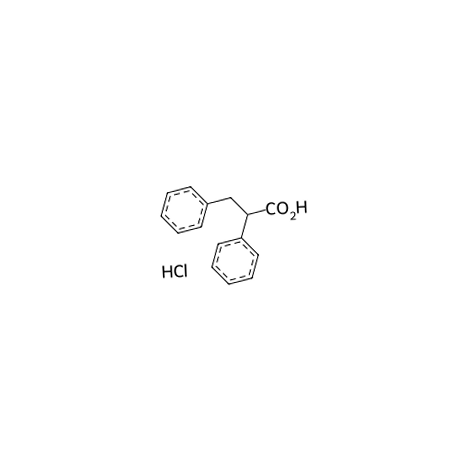 Cl.O=C(O)C(Cc1ccccc1)c1ccccc1